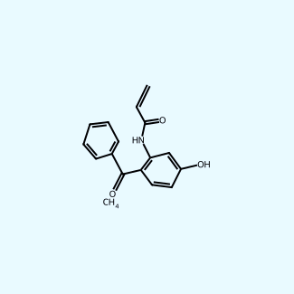 C.C=CC(=O)Nc1cc(O)ccc1C(=O)c1ccccc1